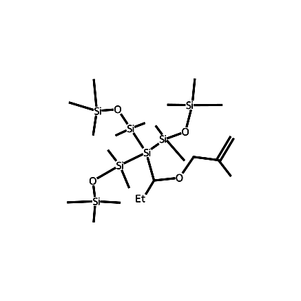 C=C(C)COC(CC)[Si]([Si](C)(C)O[Si](C)(C)C)([Si](C)(C)O[Si](C)(C)C)[Si](C)(C)O[Si](C)(C)C